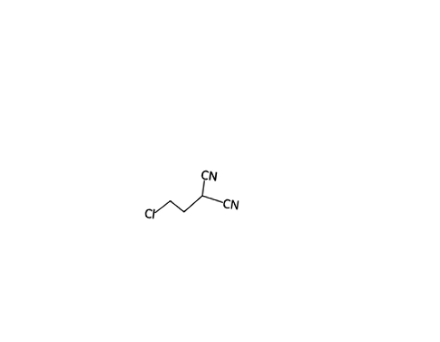 N#CC(C#N)CCCl